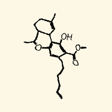 CCCCCc1cc2c(c(O)c1C(=O)OC)C1C=C(C)CCC1C(C)O2